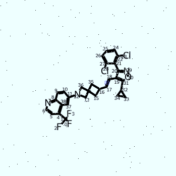 FC(F)(F)c1ccnc2ccc(N3CC4(CC(/C=C/c5c(-c6c(Cl)cccc6Cl)noc5C5CC5)C4)C3)cc12